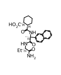 CC[C@H](NC(=O)[C@@](C)(NC(=O)[C@@H]1CCCC[C@H]1C(=O)O)c1ccc2ccccc2c1)C(N)=O